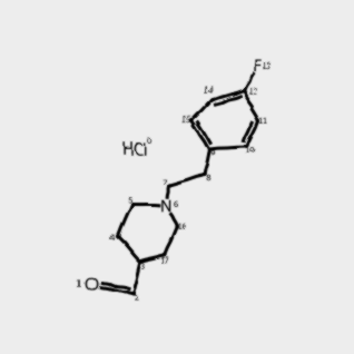 Cl.O=CC1CCN(CCc2ccc(F)cc2)CC1